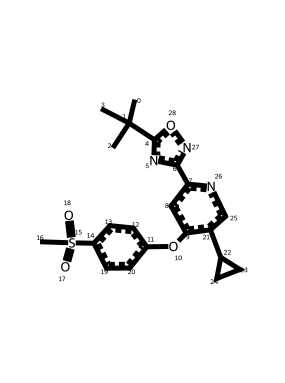 CC(C)(C)c1nc(-c2cc(Oc3ccc(S(C)(=O)=O)cc3)c(C3CC3)cn2)no1